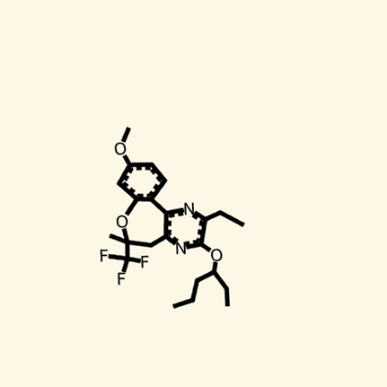 CCCC(CC)Oc1nc2c(nc1CC)-c1ccc(OC)cc1OC(C)(C(F)(F)F)C2